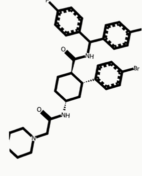 Cc1ccc(C(NC(=O)[C@@H]2CC[C@@H](NC(=O)CN3CCCCC3)C[C@H]2c2ccc(Br)cc2)c2ccc(F)cc2)cc1